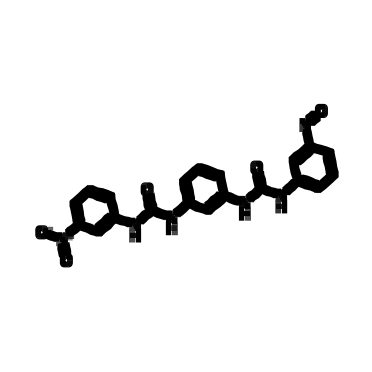 O=Nc1cccc(NC(=O)Nc2cccc(NC(=O)Nc3cccc([N+](=O)[O-])c3)c2)c1